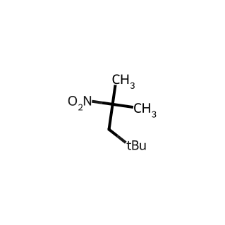 CC(C)(C)CC(C)(C)[N+](=O)[O-]